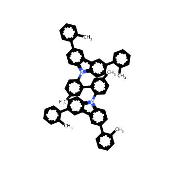 Cc1ccc(-n2c3ccc(-c4ccccc4C)cc3c3cc(-c4ccccc4C)ccc32)c(-c2cc(C(F)(F)F)ccc2-n2c3ccc(-c4ccccc4C)cc3c3cc(-c4ccccc4C)ccc32)c1